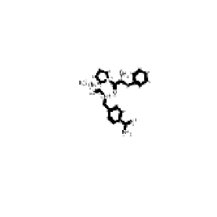 Cl.Cl.N=C(N)c1ccc(CNC(=O)[C@@H]2CCCN2C(=O)[C@H](N)Cc2ccccc2)cc1